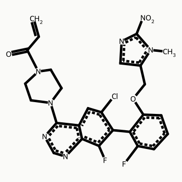 C=CC(=O)N1CCN(c2ncnc3c(F)c(-c4c(F)cccc4OCc4cnc([N+](=O)[O-])n4C)c(Cl)cc23)CC1